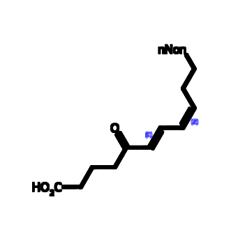 CCCCCCCCCCC/C=C\C=C\C(=O)CCCC(=O)O